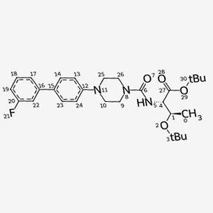 C[C@@H](OC(C)(C)C)[C@H](NC(=O)N1CCN(c2ccc(-c3cccc(F)c3)cc2)CC1)C(=O)OC(C)(C)C